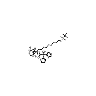 CN(CCCCCCCCCO[Si](C)(C)C(C)(C)C)[C@H]1[C@H]2CC[C@@H]1[C@H](OC(=O)C(O)(c1cccs1)c1cccs1)C2